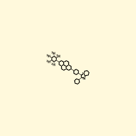 [2H]c1c([2H])c([2H])c(-c2cc3ccc4cc(-c5ccc(-c6c(-c7ccccc7)nc7ccccn67)cc5)cc5ccc(c2)c3c45)c([2H])c1[2H]